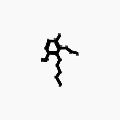 CCCCCc1c(O)ccc(C)c1CCC